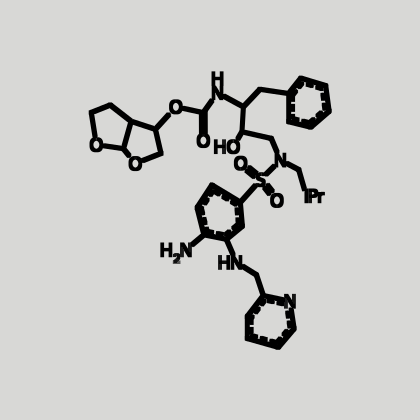 CC(C)CN(CC(O)C(Cc1ccccc1)NC(=O)OC1COC2OCCC12)S(=O)(=O)c1ccc(N)c(NCc2ccccn2)c1